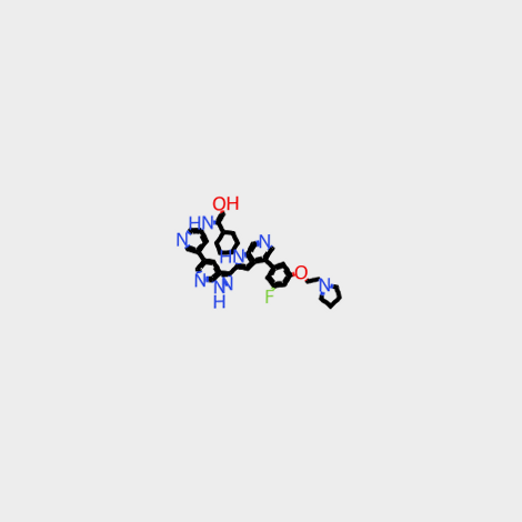 O/C=C(\Nc1cncc(-c2cnc3[nH]nc(-c4cc5c(-c6cc(F)cc(OCCN7CCCC7)c6)cncc5[nH]4)c3c2)c1)C1CCCCC1